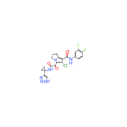 O=C(NC1(c2c[nH]nn2)CC1)C(=O)c1c(Cl)c(C(=O)Nc2ccc(F)c(F)c2)c2n1CCC2